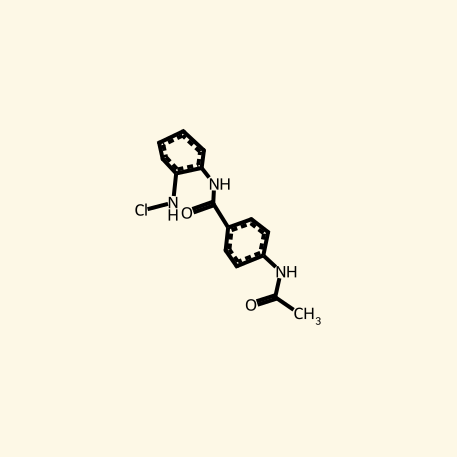 CC(=O)Nc1ccc(C(=O)Nc2ccccc2NCl)cc1